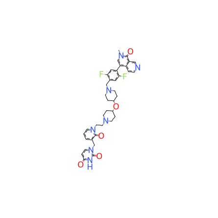 Cn1cc(-c2cc(F)c(CN3CCC(OC4CCN(CCn5cccc(Cn6ccc(=O)[nH]c6=O)c5=O)CC4)CC3)cc2F)c2ccncc2c1=O